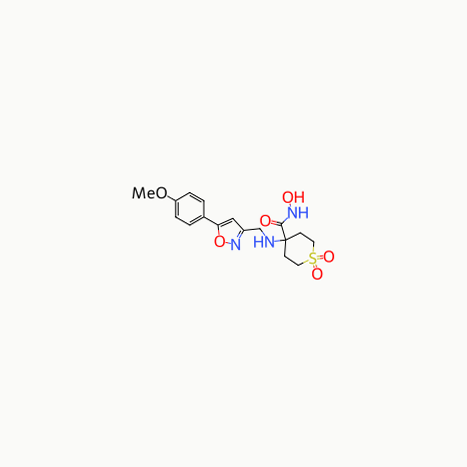 COc1ccc(-c2cc(CNC3(C(=O)NO)CCS(=O)(=O)CC3)no2)cc1